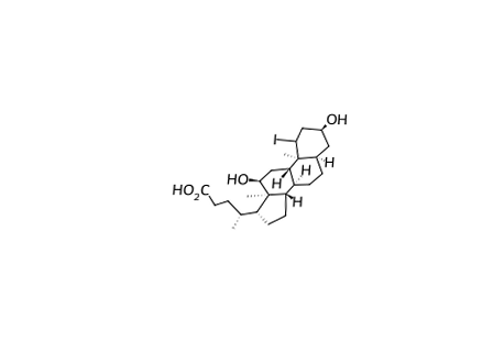 C[C@H](CCC(=O)O)[C@H]1CC[C@H]2[C@@H]3CC[C@@H]4C[C@H](O)CC(I)[C@]4(C)[C@H]3C[C@H](O)[C@]12C